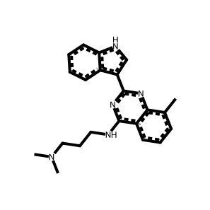 Cc1cccc2c(NCCCN(C)C)nc(-c3c[nH]c4ccccc34)nc12